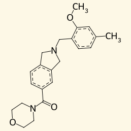 COc1cc(C)ccc1CN1Cc2ccc(C(=O)N3CCOCC3)cc2C1